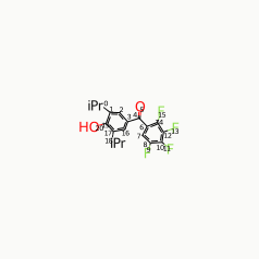 CC(C)c1cc(C(=O)c2cc(F)c(F)c(F)c2F)cc(C(C)C)c1O